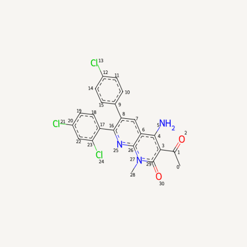 CC(=O)c1c(N)c2cc(-c3ccc(Cl)cc3)c(-c3ccc(Cl)cc3Cl)nc2n(C)c1=O